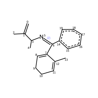 C=C(C)C(C)/N=C(\C1=CCCC=C1C)c1ccccc1